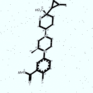 COC(=O)c1cc(N2CCN([C@@H]3CC[C@@](C(=O)O)(C4CC4C)OC3)C[C@@H]2C)ccc1F